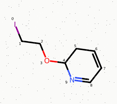 ICCOC1CC=CC=N1